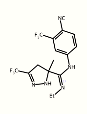 [C-]#[N+]c1ccc(N/C(=N/CC)C2(C)CC(C(F)(F)F)=NN2)cc1C(F)(F)F